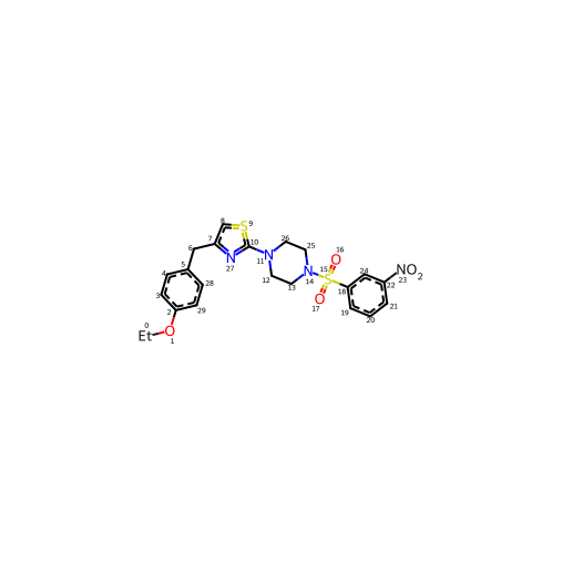 CCOc1ccc(Cc2csc(N3CCN(S(=O)(=O)c4cccc([N+](=O)[O-])c4)CC3)n2)cc1